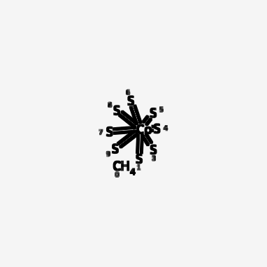 C.[S]=[Co](=[S])(=[S])(=[S])(=[S])(=[S])(=[S])=[S]